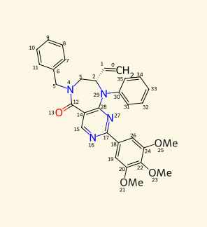 C=C[C@H]1CN(Cc2ccccc2)C(=O)c2cnc(-c3cc(OC)c(OC)c(OC)c3)nc2N1c1ccccc1